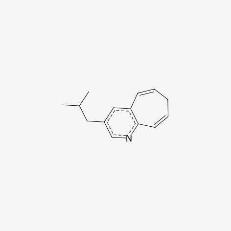 CC(C)Cc1cnc2c(c1)C=CCC=C2